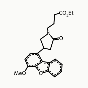 CCOC(=O)CCCN1CC(c2ccc(OC)c3oc4ccccc4c23)CC1=O